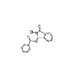 O=C(N=C1c2ccccc2C(=O)N1Cl)c1ccccc1